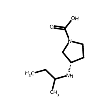 CCC(C)N[C@H]1CCN(C(=O)O)C1